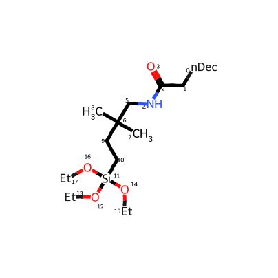 CCCCCCC[CH]CCCC(=O)NCC(C)(C)CC[Si](OCC)(OCC)OCC